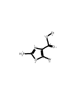 CCOC(=O)c1nc(P)oc1Br